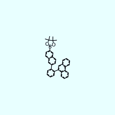 CC1(C)OB(c2ccc3cc(-c4ccccc4-c4cc5ccccc5c5ccccc45)ccc3c2)OC1(C)C